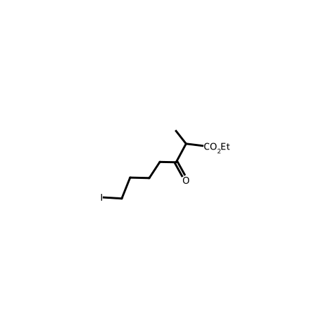 CCOC(=O)C(C)C(=O)CCCCI